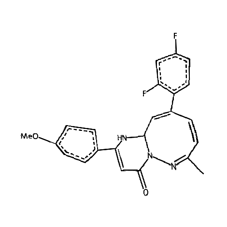 COc1ccc(C2=CC(=O)N3\N=C(C)/C=C\C(c4ccc(F)cc4F)=C/C3N2)cc1